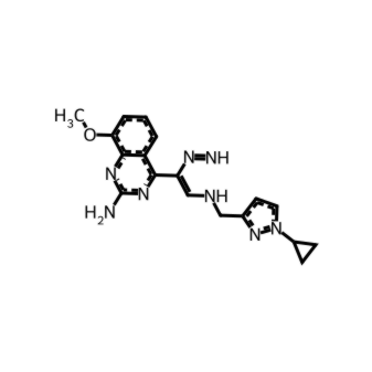 COc1cccc2c(/C(=C/NCc3ccn(C4CC4)n3)N=N)nc(N)nc12